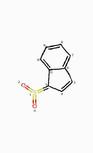 O=S(=O)=C1C=Cc2ccccc21